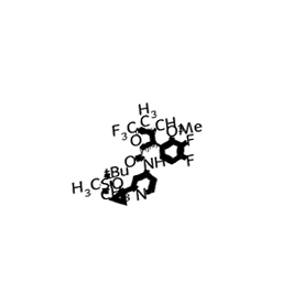 COc1c([C@H]2[C@H](C(=O)Nc3ccnc(C4(O[Si](C)(C)C(C)(C)C)CC4)c3)O[C@@](C)(C(F)(F)F)[C@H]2C)ccc(F)c1F